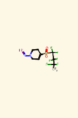 O=S(=O)(C1=CCN(N=P)CC1)C(F)(F)C(F)(F)C(F)(F)C(F)(F)F